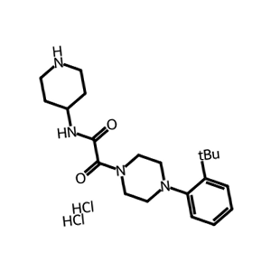 CC(C)(C)c1ccccc1N1CCN(C(=O)C(=O)NC2CCNCC2)CC1.Cl.Cl